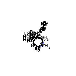 CC[C@H]1OC(=O)C[C@@H](O)[C@H](C)[C@@H](O[C@@H]2O[C@H](C)C(O)C(N(C)C)C2O)[C@@H](CCNCCn2cc(-c3ccccn3)nn2)C[C@@H](C)C(=O)/C=C/C(C)=C/[C@@H]1CO